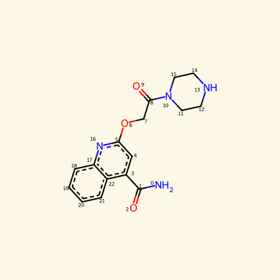 NC(=O)c1cc(OCC(=O)N2CCNCC2)nc2ccccc12